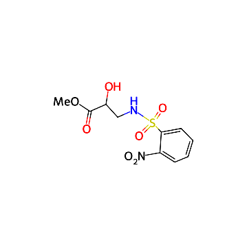 COC(=O)C(O)CNS(=O)(=O)c1ccccc1[N+](=O)[O-]